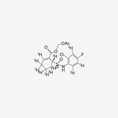 [2H]C1=C(C(=O)OCOC(C)=O)[C@]([2H])(S(=O)(=O)Nc2c([2H])c([2H])c(F)c([2H])c2Cl)C([2H])([2H])C([2H])([2H])C1([2H])[2H]